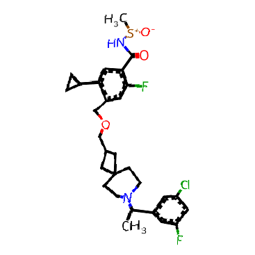 CC(c1cc(F)cc(Cl)c1)N1CCC2(CC1)CC(COCc1cc(F)c(C(=O)N[S+](C)[O-])cc1C1CC1)C2